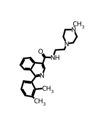 Cc1cccc(-c2ncc(C(=O)NCCN3CCN(C)CC3)c3ccccc23)c1C